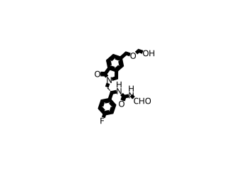 O=CNC(=O)N[C@@H](CN1Cc2cc(COCO)ccc2C1=O)c1ccc(F)cc1